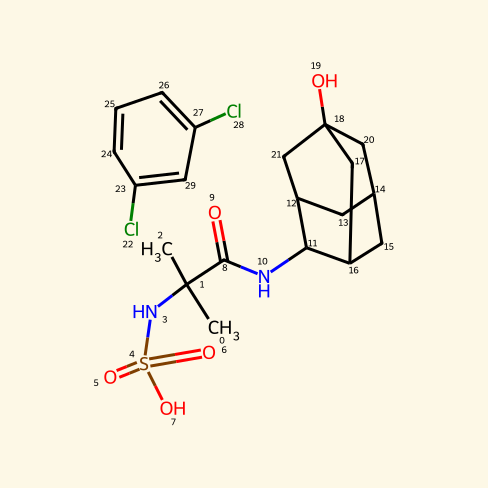 CC(C)(NS(=O)(=O)O)C(=O)NC1C2CC3CC1CC(O)(C3)C2.Clc1cccc(Cl)c1